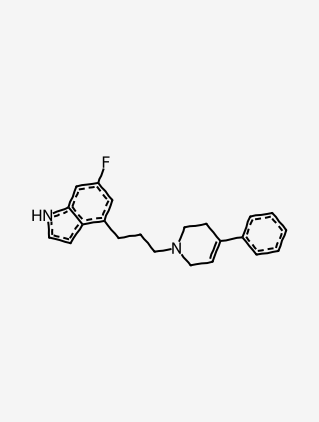 Fc1cc(CCCN2CC=C(c3ccccc3)CC2)c2cc[nH]c2c1